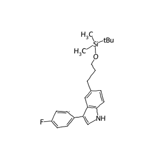 CC(C)(C)[Si](C)(C)OCCCc1ccc2[nH]cc(-c3[c]cc(F)cc3)c2c1